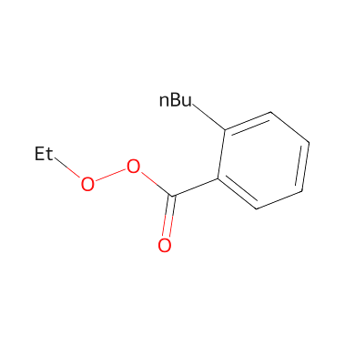 CCCCc1ccccc1C(=O)OOCC